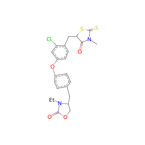 CCN1C(=O)OCC1Cc1ccc(Oc2ccc(CC3SC(=S)N(C)C3=O)c(Cl)c2)cc1